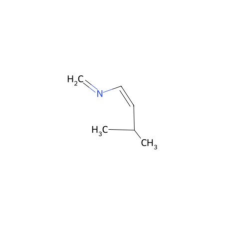 C=N/C=C\C(C)C